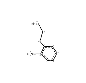 CCCCCCCCc1ccccc1[N+](=O)[O-]